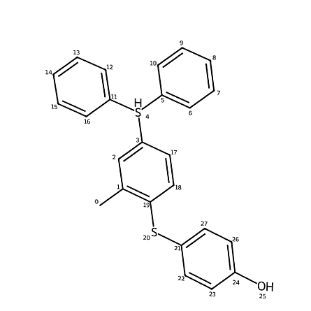 Cc1cc([SH](c2ccccc2)c2ccccc2)ccc1Sc1ccc(O)cc1